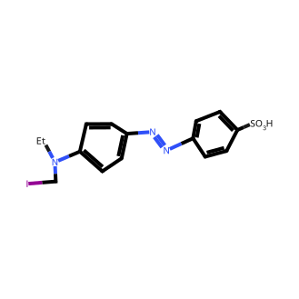 CCN(CI)c1ccc(/N=N/c2ccc(S(=O)(=O)O)cc2)cc1